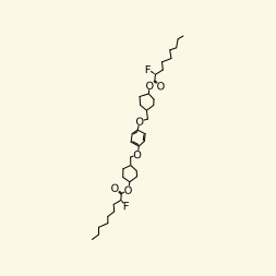 CCCCCCC[C@H](F)C(=O)OC1CCC(COc2ccc(OCC3CCC(OC(=O)[C@@H](F)CCCCCCC)CC3)cc2)CC1